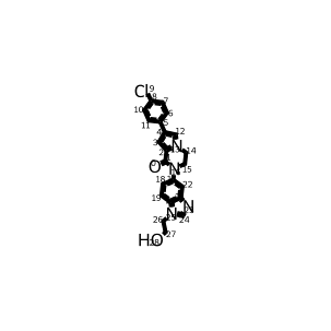 O=C1c2cc(-c3ccc(Cl)cc3)cn2CCN1c1ccc2c(c1)ncn2CCO